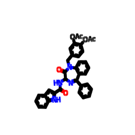 CC(=O)Oc1ccc(CN2C(=O)C(NC(=O)c3cc4ccccc4[nH]3)N=C(c3ccccc3)c3ccccc32)cc1OC(C)=O